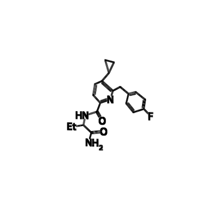 CCC(NC(=O)c1ccc(C2CC2)c(Cc2ccc(F)cc2)n1)C(N)=O